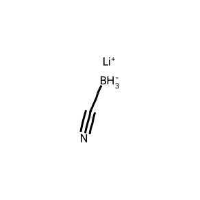 [BH3-]C#N.[Li+]